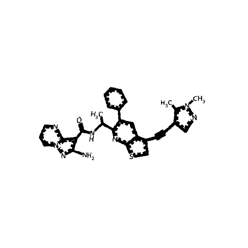 Cc1c(C#Cc2csc3nc(C(C)NC(=O)c4c(N)nn5cccnc45)c(-c4ccccc4)cc23)cnn1C